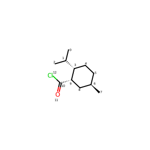 CC(C)[C@@H]1CC[C@@H](C)C[C@@H]1C(=O)Cl